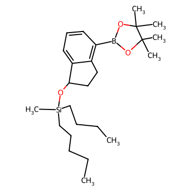 CCCCC[Si](C)(CCCC)OC1CCc2c(B3OC(C)(C)C(C)(C)O3)cccc21